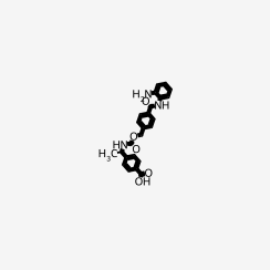 C[C@@H](NC(=O)OCc1ccc(C(=O)Nc2ccccc2N)cc1)c1ccc(C(=O)O)cc1